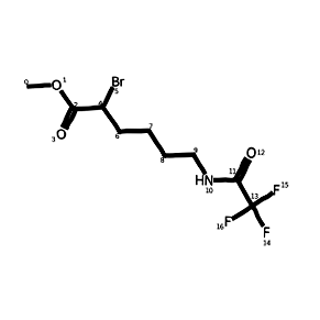 COC(=O)C(Br)CCCCNC(=O)C(F)(F)F